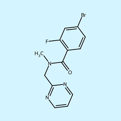 CN(Cc1ncccn1)C(=O)c1ccc(Br)cc1F